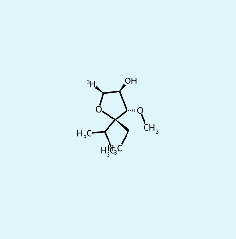 [3H][C@@H]1O[C@@](CC)(C(C)C)[C@@H](OC)[C@@H]1O